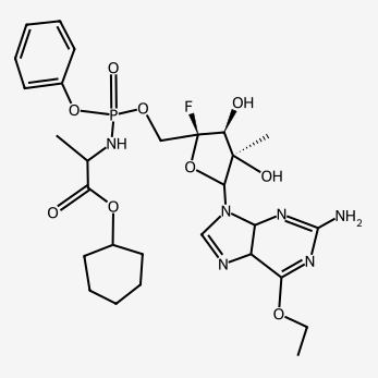 CCOC1=NC(N)=NC2C1N=CN2C1O[C@](F)(COP(=O)(NC(C)C(=O)OC2CCCCC2)Oc2ccccc2)[C@@H](O)[C@@]1(C)O